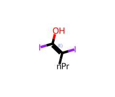 CCC/C(I)=C(/O)I